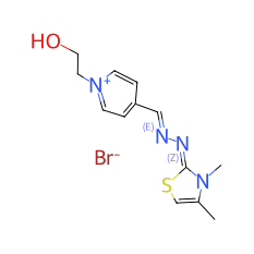 Cc1cs/c(=N\N=C\c2cc[n+](CCO)cc2)n1C.[Br-]